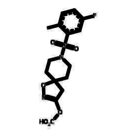 Cc1ccc(F)cc1S(=O)(=O)N1CCC2(CC1)CC(OC(=O)O)=NO2